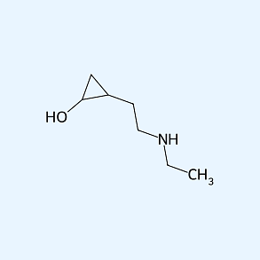 CCNCCC1CC1O